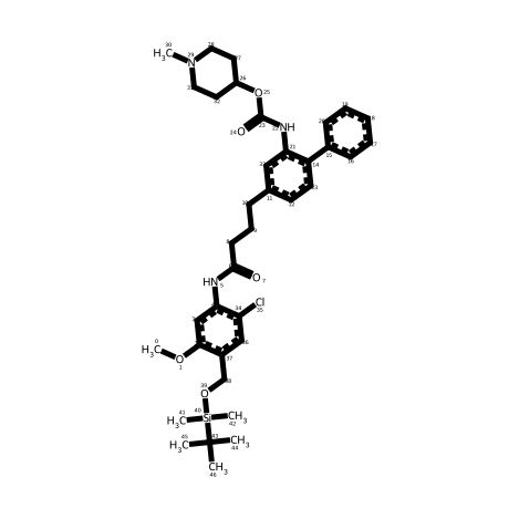 COc1cc(NC(=O)CCCc2ccc(-c3ccccc3)c(NC(=O)OC3CCN(C)CC3)c2)c(Cl)cc1CO[Si](C)(C)C(C)(C)C